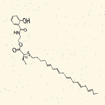 CCC=CCC=CCC=CCC=CCC=CCCCCS[C@@H](CC)C(=O)OCCNC(=O)c1ccccc1O